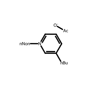 CC(=O)[O-].CCCCCCCCC[n+]1cccc(CCCC)c1